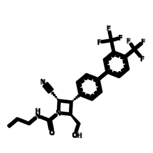 CCCNC(=O)N1[C@H](C#N)[C@H](c2ccc(-c3ccc(C(F)(F)F)c(C(F)(F)F)c3)cc2)[C@H]1CO